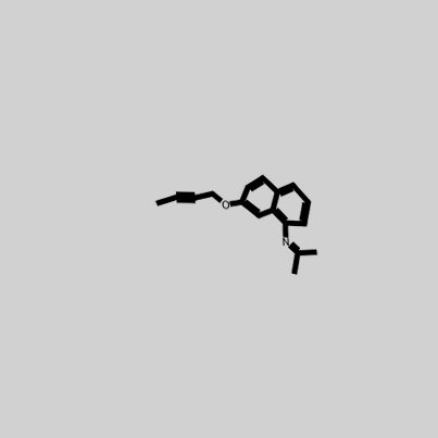 CC#CCOc1ccc2cccc(N=C(C)C)c2c1